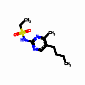 CCCCc1cnc(NS(=O)(=O)CC)nc1C